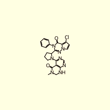 CN1CNc2ncnc(N3CCCC3c3nn4ccc(Cl)c4c(=O)n3-c3ccccc3)c2C1=O